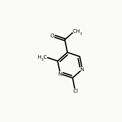 CC(=O)c1cnc(Cl)nc1C